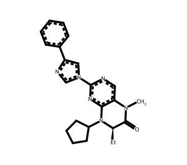 CC[C@@H]1C(=O)N(C)c2cnc(-n3cnc(-c4ccccc4)c3)nc2N1C1CCCC1